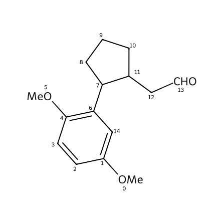 COc1ccc(OC)c(C2CCCC2CC=O)c1